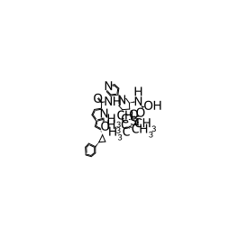 C[C@H]1CN(c2ccncc2NC(=O)c2ccc3cc([C@@H]4C[C@H]4c4ccccc4)oc3n2)C[C@@H](NC(=O)O)[C@@H]1O[Si](C)(C)C(C)(C)C